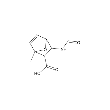 CC12C=CC(O1)C(NC=O)C2C(=O)O